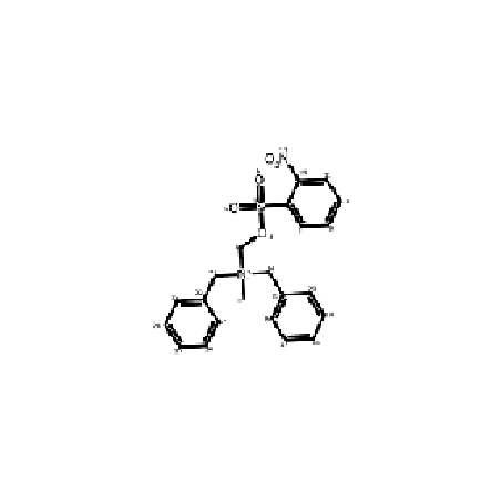 C[N+](COS(=O)(=O)c1ccccc1[N+](=O)[O-])(Cc1ccccc1)Cc1ccccc1